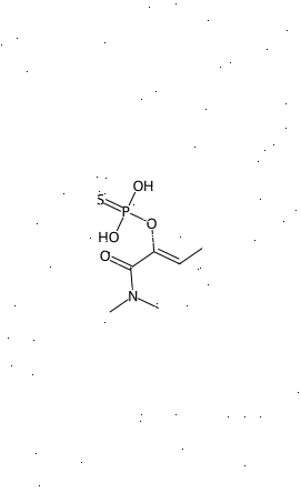 CC=C(OP(O)(O)=S)C(=O)N(C)C